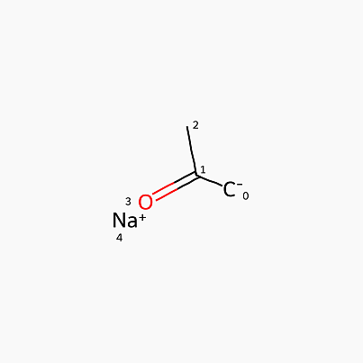 [CH2-]C(C)=O.[Na+]